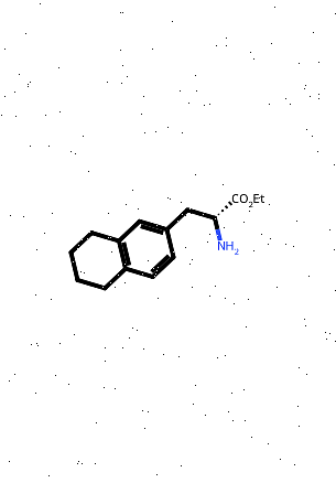 CCOC(=O)[C@H](N)Cc1ccc2c(c1)CCCC2